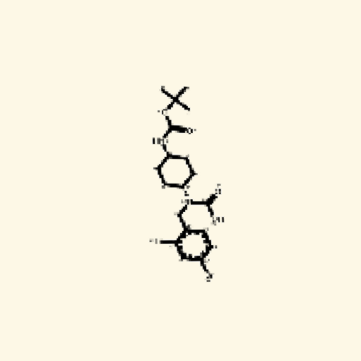 CC(C)(C)OC(=O)N[C@H]1CC[C@H](N(Cc2ccc(Br)cc2F)C(=O)O)CC1